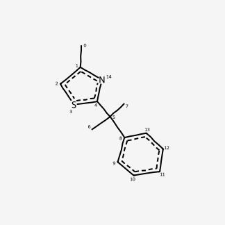 Cc1csc(C(C)(C)c2ccccc2)n1